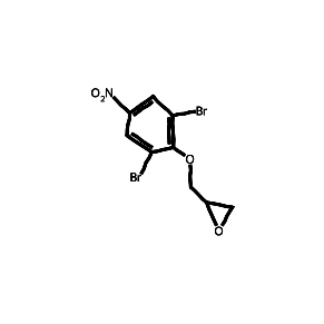 O=[N+]([O-])c1cc(Br)c(OCC2CO2)c(Br)c1